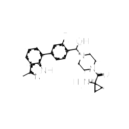 Cc1n[nH]c2c(-c3ccc(C(O)N4CCN(C(=O)C5(N)CC5)CC4)c(F)c3)cccc12